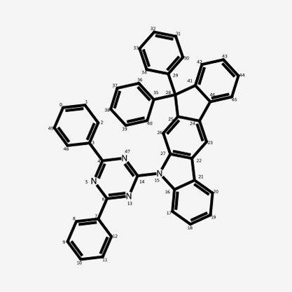 c1ccc(-c2nc(-c3ccccc3)nc(-n3c4ccccc4c4cc5c(cc43)C(c3ccccc3)(c3ccccc3)c3ccccc3-5)n2)cc1